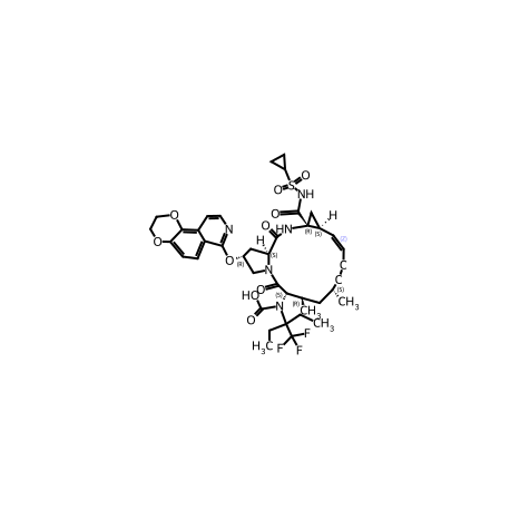 CCC(CC)(N(C(=O)O)[C@@H]1C(=O)N2C[C@H](Oc3nccc4c5c(ccc34)OCCO5)C[C@H]2C(=O)N[C@]2(C(=O)NS(=O)(=O)C3CC3)C[C@H]2/C=C\CC[C@H](C)C[C@H]1C)C(F)(F)F